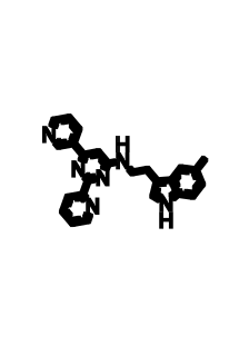 Cc1ccc2[nH]cc(CCNc3cc(-c4cccnc4)nc(-c4ccccn4)n3)c2c1